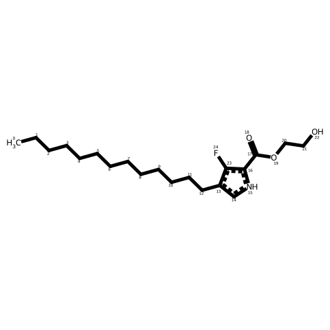 CCCCCCCCCCCCCc1c[nH]c(C(=O)OCCO)c1F